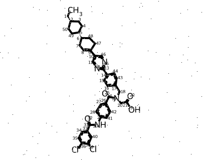 CC[C@H]1CC[C@H](C2CC=C(c3cnc(-c4ccc(CN(CC(=O)O)C(=O)c5ccc(NC(=O)c6ccc(Cl)c(Cl)c6)cc5)cc4)nc3)CC2)CC1